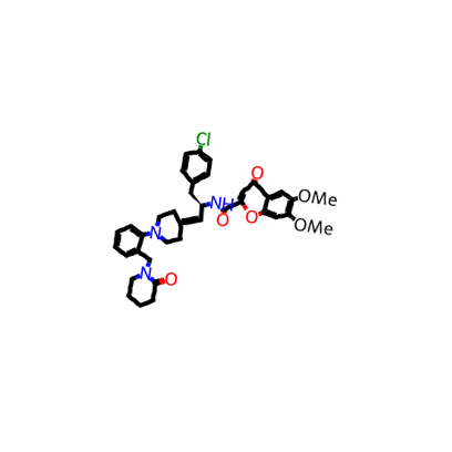 COc1cc2oc(C(=O)N[C@@H](C=C3CCN(c4ccccc4CN4CCCCC4=O)CC3)Cc3ccc(Cl)cc3)cc(=O)c2cc1OC